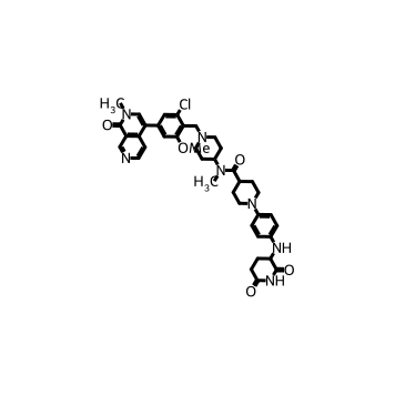 COc1cc(-c2cn(C)c(=O)c3cnccc23)cc(Cl)c1CN1CCC(N(C)C(=O)C2CCN(c3ccc(NC4CCC(=O)NC4=O)cc3)CC2)CC1